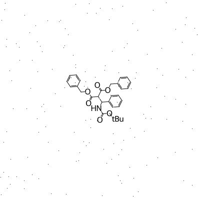 CC(C)(C)OC(=O)NC(c1ccccc1)C(C(=O)OCc1ccccc1)C(=O)OCc1ccccc1